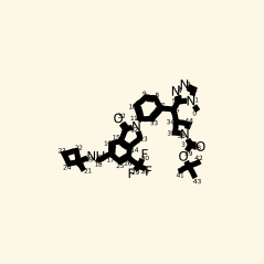 Cn1cnnc1C(c1cccc(N2Cc3c(cc(CNC4(C)CCC4)cc3C(F)(F)F)C2=O)c1)C1CN(C(=O)OC(C)(C)C)C1